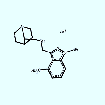 CC(C)n1nc(CNC2CN3CCC2CC3)c2c(C(=O)O)cccc21.[LiH]